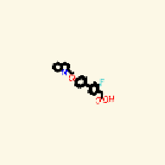 O=C(O)Cc1ccc(-c2ccc(OCc3ccc4ccccc4n3)cc2)cc1F